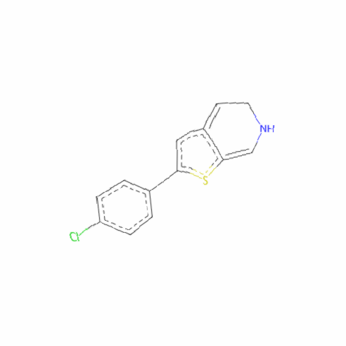 Clc1ccc(-c2cc3c(s2)=CNCC=3)cc1